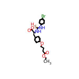 CCOC(=O)CCCOc1ccc(C[C@H](NC(=S)Nc2ccc(Br)cc2)C(=O)O)cc1